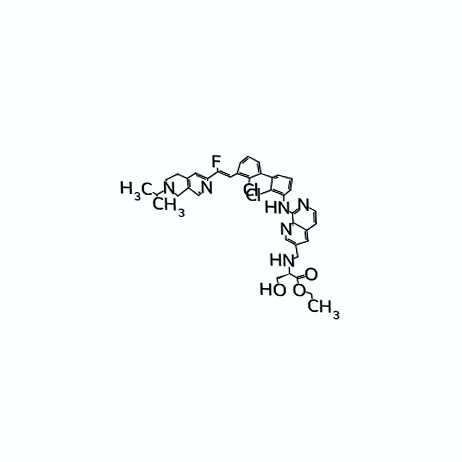 CCOC(=O)[C@@H](CO)NCc1cnc2c(Nc3cccc(-c4cccc(/C=C(\F)c5cc6c(cn5)CN(C(C)C)CC6)c4Cl)c3Cl)nccc2c1